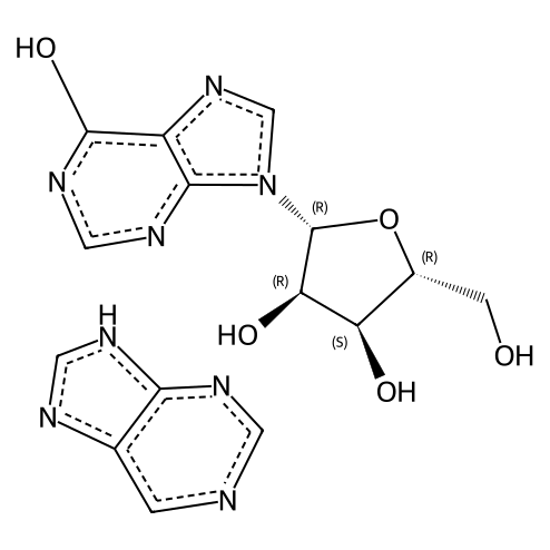 OC[C@H]1O[C@@H](n2cnc3c(O)ncnc32)[C@H](O)[C@@H]1O.c1ncc2nc[nH]c2n1